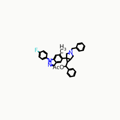 CC(=O)OC(c1ccccc1)C1C2CN(Cc3ccccc3)CC21c1cc2cnn(-c3ccc(F)cc3)c2cc1C